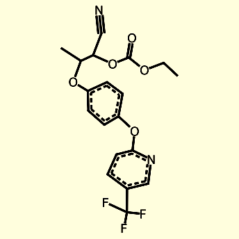 CCOC(=O)OC(C#N)C(C)Oc1ccc(Oc2ccc(C(F)(F)F)cn2)cc1